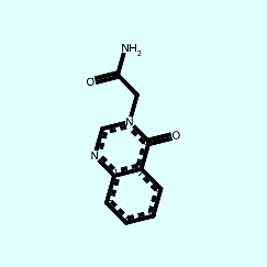 NC(=O)Cn1cnc2ccccc2c1=O